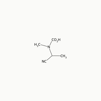 CC(C#N)N(C)C(=O)O